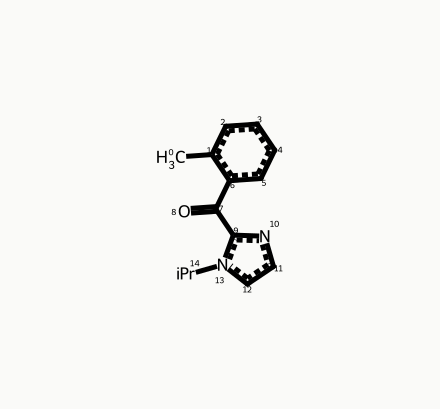 Cc1ccccc1C(=O)c1nccn1C(C)C